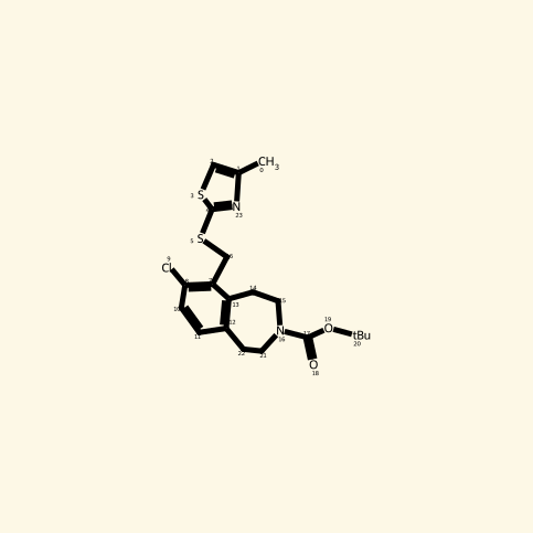 Cc1csc(SCc2c(Cl)ccc3c2CCN(C(=O)OC(C)(C)C)CC3)n1